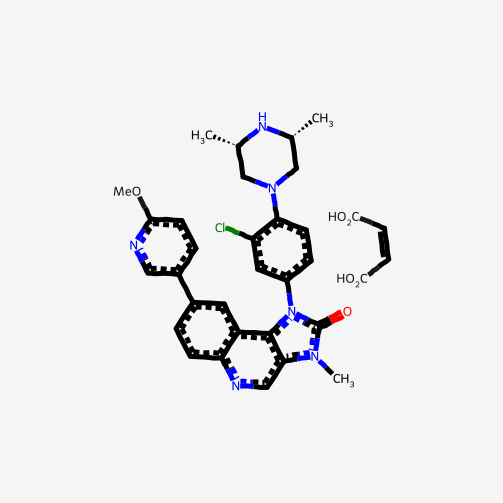 COc1ccc(-c2ccc3ncc4c(c3c2)n(-c2ccc(N3C[C@@H](C)N[C@@H](C)C3)c(Cl)c2)c(=O)n4C)cn1.O=C(O)/C=C\C(=O)O